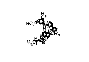 Cc1ccc2c(NS(=O)(=O)CCC(C)(F)F)c(F)ccc2c1Oc1ncccc1-c1ccnc(N[C@H]2C[C@@H](C)CN(C(=O)O)C2)n1